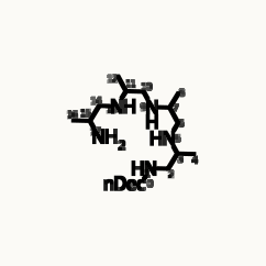 CCCCCCCCCCNCC(C)NCC(C)NCC(C)NCC(C)N